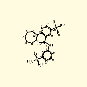 CS(=N)(=O)c1cc(NC(=O)c2cc(C(F)(F)F)nnc2N2CCCCCC2)ccn1